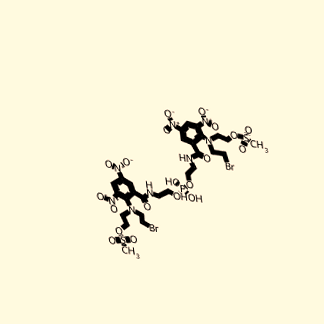 CS(=O)(=O)OCCN(CCBr)c1c(C(=O)NCCO[PH](O)(O)OCCNC(=O)c2cc([N+](=O)[O-])cc([N+](=O)[O-])c2N(CCBr)CCOS(C)(=O)=O)cc([N+](=O)[O-])cc1[N+](=O)[O-]